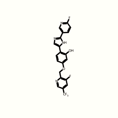 Oc1cc(OCc2ncc(C(F)(F)F)cc2F)ccc1-c1cnc(-c2ccc(F)nc2)[nH]1